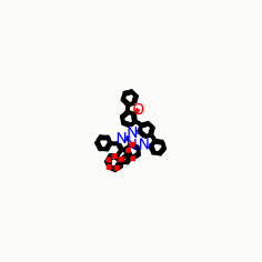 c1ccc(-c2ccc(-n3c4ccccc4c4ccc5c6c7oc8ccccc8c7ccc6n(-c6nc(-c7ccccc7)c7c(ccc8ccccc87)n6)c5c43)cc2)cc1